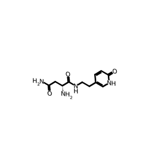 NC(=O)C[C@@H](N)C(=O)NCCc1ccc(=O)[nH]c1